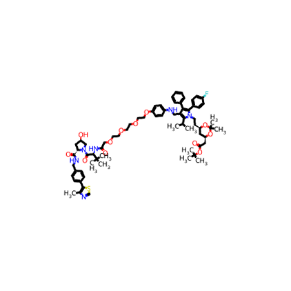 Cc1ncsc1-c1ccc(CNC(=O)[C@@H]2C[C@@H](O)CN2C(=O)[C@@H](NC(=O)COCCOCCOCCOc2ccc(NCc3c(-c4ccccc4)c(-c4ccc(F)cc4)n(CC[C@@H]4C[C@H](CC(=O)OC(C)(C)C)OC(C)(C)O4)c3C(C)C)cc2)C(C)(C)C)cc1